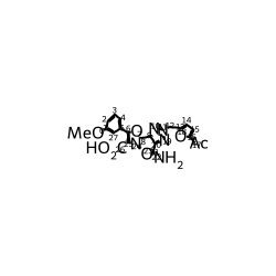 COc1cccc(-c2oc(-c3nn(Cc4ccc(C(C)=O)o4)nc3C(N)=O)nc2C(=O)O)c1